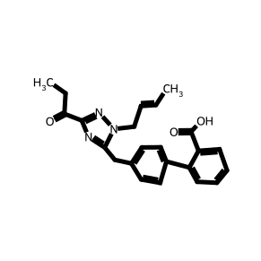 CC=CCn1nc(C(=O)CC)nc1Cc1ccc(-c2ccccc2C(=O)O)cc1